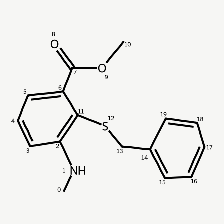 CNc1cccc(C(=O)OC)c1SCc1ccccc1